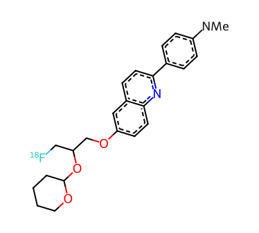 CNc1ccc(-c2ccc3cc(OCC(C[18F])OC4CCCCO4)ccc3n2)cc1